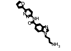 NCCCn1cnc2cc(C(=O)Nc3ccc(-c4ccco4)nn3)ccc21